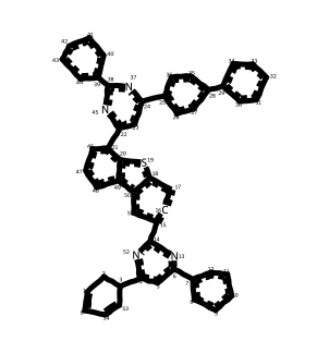 C1=CCC(c2cc(-c3ccccc3)nc(-c3ccc4sc5c(-c6cc(-c7ccc(-c8ccccc8)cc7)nc(-c7ccccc7)n6)cccc5c4c3)n2)C=C1